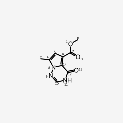 COC(=O)c1cc(C)n2nc[nH]c(=O)c12